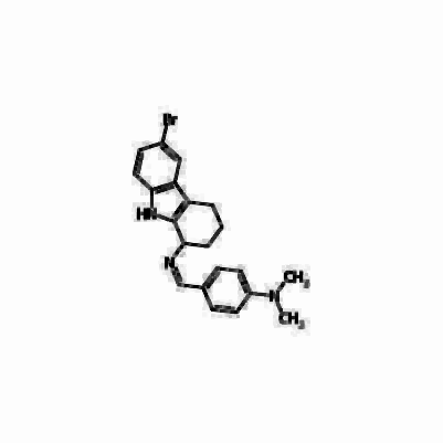 CN(C)c1ccc(/C=N\C2CCCc3c2[nH]c2ccc(Br)cc32)cc1